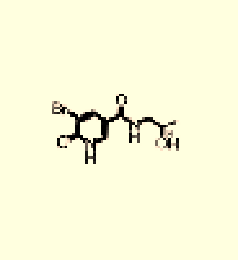 C[C@@H](O)CNC(=O)c1c[nH]c(=O)c(Br)c1